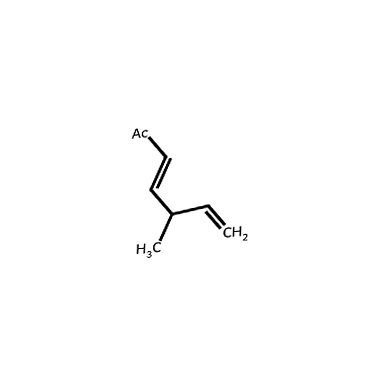 C=CC(C)/C=C/C(C)=O